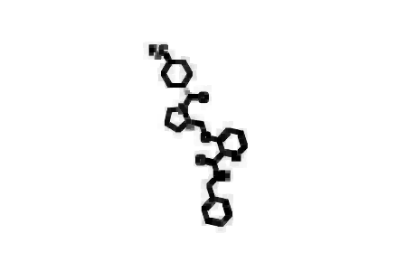 O=C(NCc1ccccc1)c1ncccc1OC[C@H]1CCCN1C(=O)[C@H]1CC[C@H](C(F)(F)F)CC1